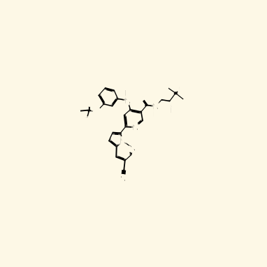 CC(C)(O)[C@H](F)CNC(=O)c1cnc(-c2ccc3cc(C#N)cnn23)cc1Nc1cccc(OC(F)(F)F)c1